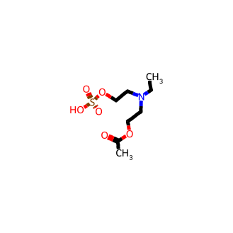 CCN(CCOC(C)=O)CCOS(=O)(=O)O